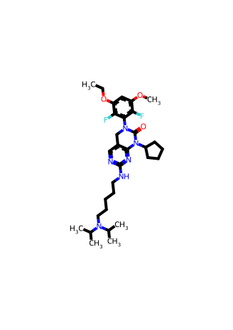 CCOc1cc(OC)c(F)c(N2Cc3cnc(NCCCCCN(C(C)C)C(C)C)nc3N(C3CCCC3)C2=O)c1F